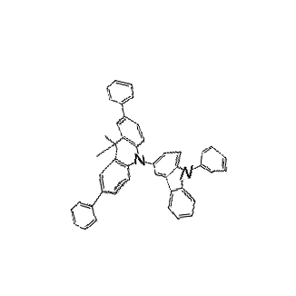 CC1(C)c2cc(-c3ccccc3)ccc2N(c2ccc3c(c2)c2ccccc2n3-c2ccccc2)c2ccc(-c3ccccc3)cc21